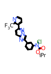 CC(C)OC(=O)N(Cl)c1cccc(-c2cn3nc(-c4cccnc4C(F)(F)F)ccc3n2)c1